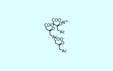 CC(=O)CC(=O)CC(=O)[O-].CC(=O)CC(=O)CC(=O)[O-].CC(=O)CC(=O)CC(=O)[O-].[Al+3]